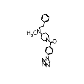 CN(CCc1ccccc1)C1CCN(C(=O)c2ccc(-n3cnnn3)cc2)CC1